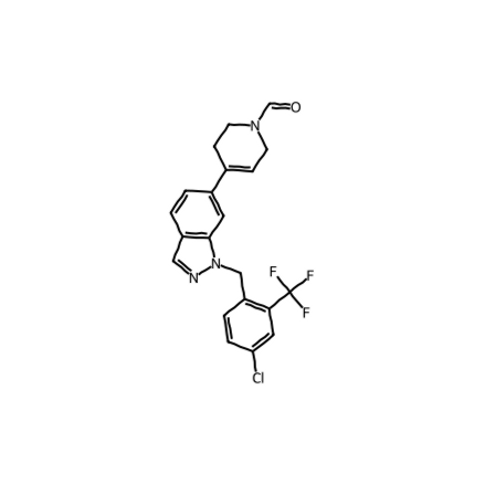 O=CN1CC=C(c2ccc3cnn(Cc4ccc(Cl)cc4C(F)(F)F)c3c2)CC1